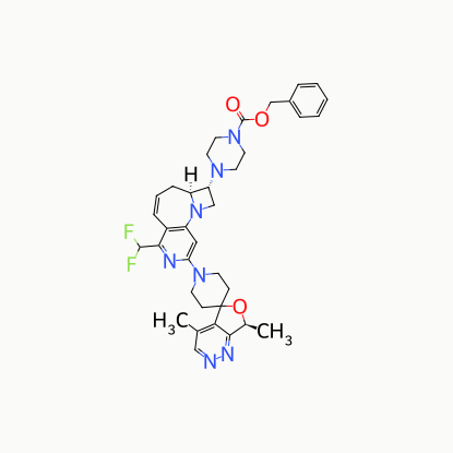 Cc1cnnc2c1C1(CCN(c3cc4c(c(C(F)F)n3)C=CC[C@H]3[C@H](N5CCN(C(=O)OCc6ccccc6)CC5)CN43)CC1)O[C@H]2C